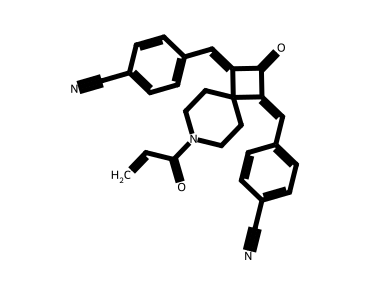 C=CC(=O)N1CCC2(CC1)/C(=C\c1ccc(C#N)cc1)C(=O)/C2=C/c1ccc(C#N)cc1